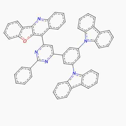 c1ccc(-c2nc(-c3cc(-n4c5ccccc5c5ccccc54)cc(-n4c5ccccc5c5ccccc54)c3)cc(-c3c4ccccc4nc4c3oc3ccccc34)n2)cc1